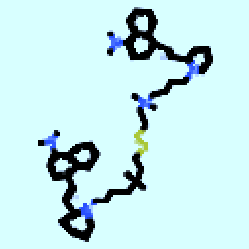 CN(C)c1ccc(/C=C/c2cccc[n+]2CCCCC(C)(C)CCSSCC[N+](C)(C)CCCC[n+]2ccccc2/C=C/c2ccc(N(C)C)c3ccccc23)c2ccccc12